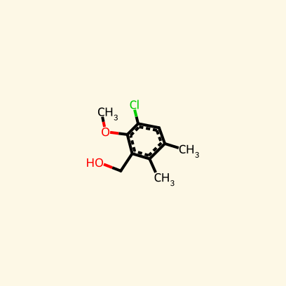 COc1c(Cl)cc(C)c(C)c1CO